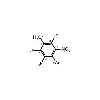 CC(=O)c1c(F)c(F)c(C)c(F)c1[N+](=O)[O-]